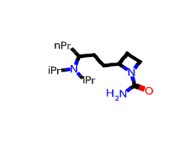 CCCC(CCC1CCN1C(N)=O)N(C(C)C)C(C)C